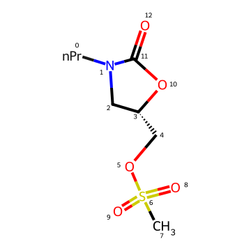 CCCN1C[C@@H](COS(C)(=O)=O)OC1=O